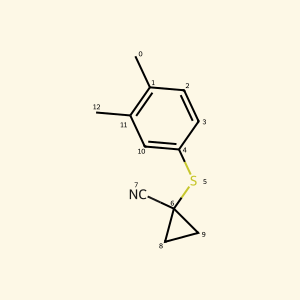 Cc1ccc(SC2(C#N)CC2)cc1C